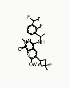 COc1nc2c(=O)n(C)nc(N[C@H](C)c3cccc(C(F)F)c3F)c2cc1C1CC(F)(F)C1